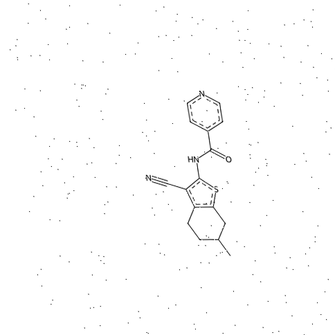 CC1CCc2c(sc(NC(=O)c3ccncc3)c2C#N)C1